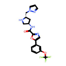 O=C(N[C@H]1CN[C@H](Cn2cccn2)C1)c1ncc(-c2cccc(OC(F)(F)F)c2)o1